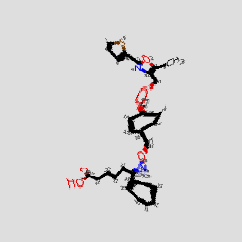 Cc1oc(-c2cccs2)nc1COc1ccc(CO/N=C(\CCCCC(=O)O)c2ccccc2)cc1